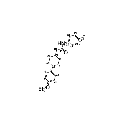 CCOc1ccc(C2CCC(CC(=O)Nc3ccc(F)cc3)CC2)cc1